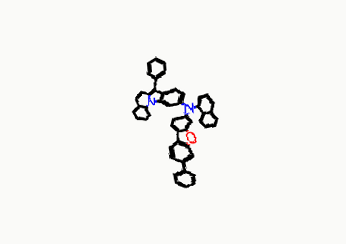 c1ccc(-c2ccc3c(c2)oc2cc(N(c4ccc5c(-c6ccccc6)c6ccc7ccccc7n6c5c4)c4cccc5ccccc45)ccc23)cc1